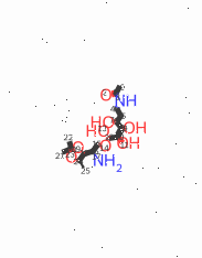 CC(=O)NCCC(O)/C(O)=C(/O)C(O)OC[C@H](N)[C@@H]1OC(C)(C)O[C@@H]1C